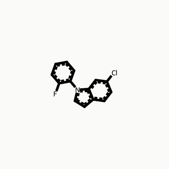 Fc1ccccc1-n1ccc2ccc(Cl)cc21